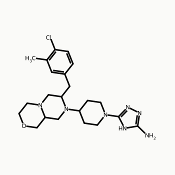 Cc1cc(CC2CN3CCOCC3CN2C2CCN(c3nnc(N)[nH]3)CC2)ccc1Cl